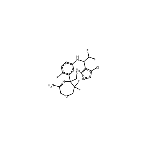 CCC1(c2cc(NC(c3n[nH]cc3Cl)C(F)F)ccc2F)N=C(N)COCC1(F)F